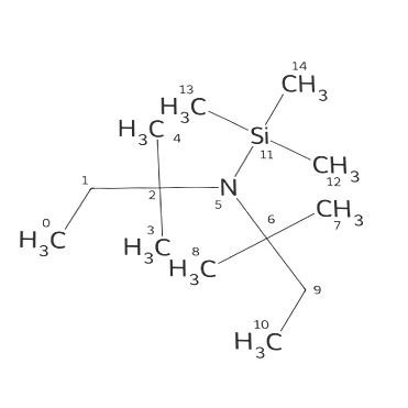 CCC(C)(C)N(C(C)(C)CC)[Si](C)(C)C